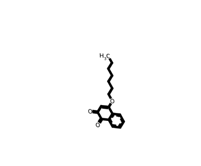 CCCCCCCOC1=CC(=O)C(=O)c2ccccc21